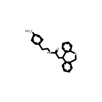 O=C(CC1c2ccccc2CSc2ccccc21)NCCc1ccc(C(=O)O)cc1